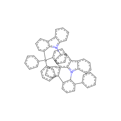 c1ccc(-c2cccc(-c3ccccc3)c2-n2c3ccccc3c3cc(-n4c5ccccc5c5cccc([Si](c6ccccc6)(c6ccccc6)c6ccccc6)c54)ccc32)cc1